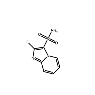 NS(=O)(=O)c1c(F)nc2ccccn12